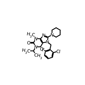 CC(C)n1c(=O)c2c(nc(N3CCCCC3)n2Cc2c(F)cccc2Cl)n(C)c1=O